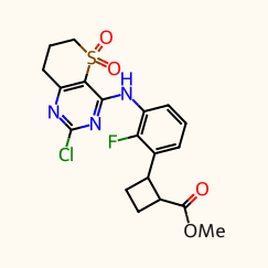 COC(=O)C1CCC1c1cccc(Nc2nc(Cl)nc3c2S(=O)(=O)CCC3)c1F